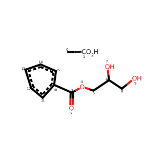 CC(=O)O.O=C(OCC(O)CO)c1ccccc1